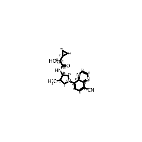 CC1CN(c2ccc(C#N)c3nccnc23)CC1NC(=O)[C@@H](O)C1CC1